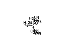 COC(=O)C(CCSCC1=C2OC(C)(C)OC2C(c2c[nH]c(C#N)c2N)N1C(=O)OC(C)(C)C)NC(=O)OC(C)(C)C